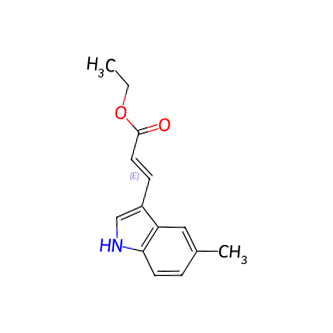 CCOC(=O)/C=C/c1c[nH]c2ccc(C)cc12